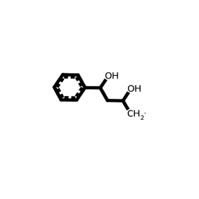 [CH2]C(O)CC(O)c1ccccc1